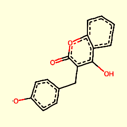 [O]c1ccc(Cc2c(O)c3ccccc3oc2=O)cc1